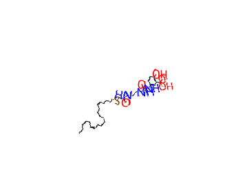 CC/C=C\C/C=C\C/C=C\C/C=C\C/C=C\CCCCSCC(=O)NCCNC(=O)Nc1ccc(O)c(C(=O)O)c1